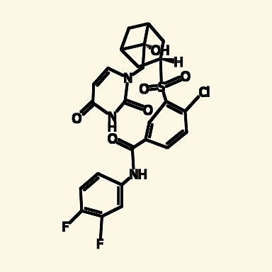 O=C(Nc1ccc(F)c(F)c1)c1ccc(Cl)c(S(=O)(=O)[C@H]2CC3CC(C2)[C@]3(O)Cn2ccc(=O)[nH]c2=O)c1